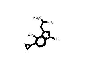 Cn1cc(CC(N)C(=O)O)c2c([N+](=O)[O-])c(C3CC3)ccc21